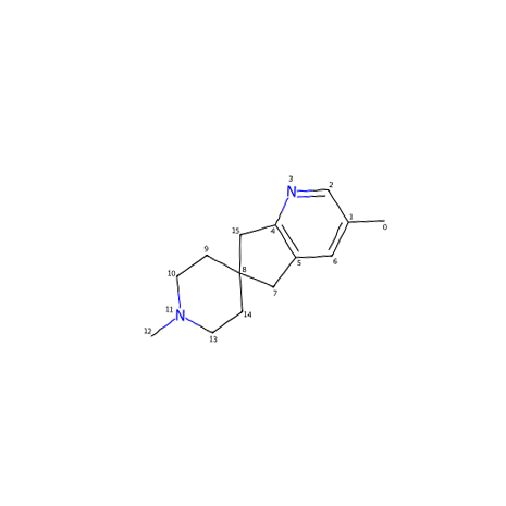 Cc1cnc2c(c1)CC1(CCN(C)CC1)C2